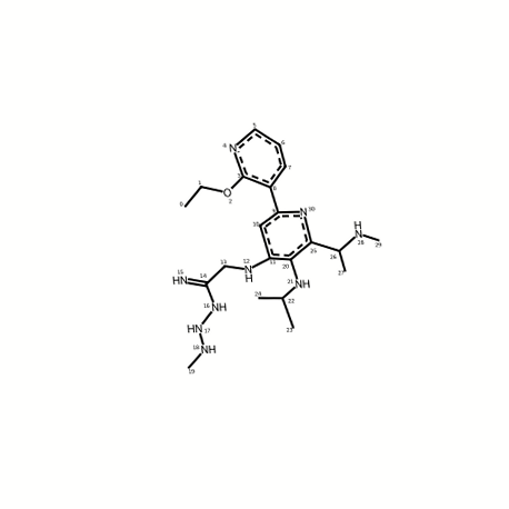 CCOc1ncccc1-c1cc(NCC(=N)NNNC)c(NC(C)C)c(C(C)NC)n1